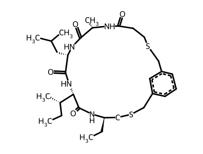 CC[C@@H]1CSCc2cccc(c2)CSCCC(=O)N[C@@H](C)C(=O)N[C@@H](CC(C)C)C(=O)N[C@@H]([C@@H](C)CC)C(=O)N1